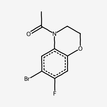 CC(=O)N1CCOc2cc(F)c(Br)cc21